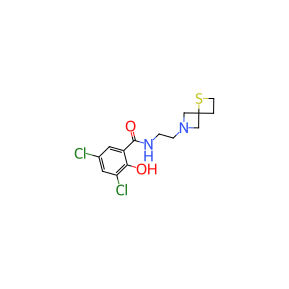 O=C(NCCN1CC2(CCS2)C1)c1cc(Cl)cc(Cl)c1O